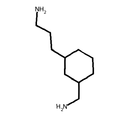 NCCCC1CCCC(CN)C1